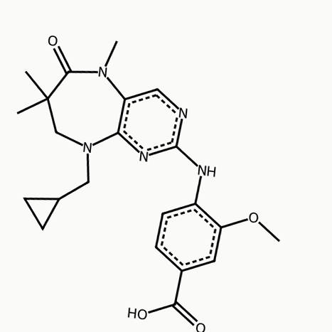 COc1cc(C(=O)O)ccc1Nc1ncc2c(n1)N(CC1CC1)CC(C)(C)C(=O)N2C